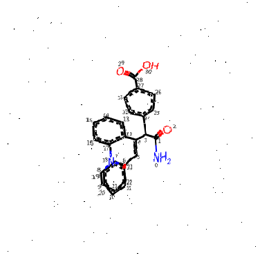 NC(=O)C(/C(=C/c1ccccc1)c1ccccc1N1CCCCC1)c1ccc(C(=O)O)cc1